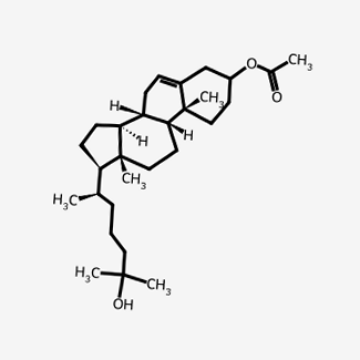 CC(=O)OC1CC[C@@]2(C)C(=CC[C@@H]3[C@H]2CC[C@]2(C)[C@@H]([C@H](C)CCCC(C)(C)O)CC[C@@H]32)C1